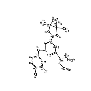 COC[C@@H](N)C(=O)N[C@@H](CCOc1ccc(Cl)c(F)c1)B1OC(C)(C)C(C)(C)O1.Cl